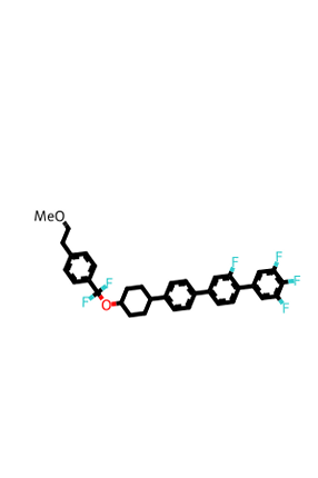 COCCc1ccc(C(F)(F)OC2CCC(c3ccc(-c4ccc(-c5cc(F)c(F)c(F)c5)c(F)c4)cc3)CC2)cc1